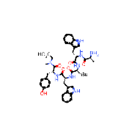 CCCC[C@H](NC(=O)[C@H](Cc1c[nH]c2ccccc12)NC(=O)[C@H](C)N)C(=O)N[C@@H](Cc1c[nH]c2ccccc12)C(=O)N[C@H](Cc1ccc(O)cc1)C(=O)N(C)CC(=O)O